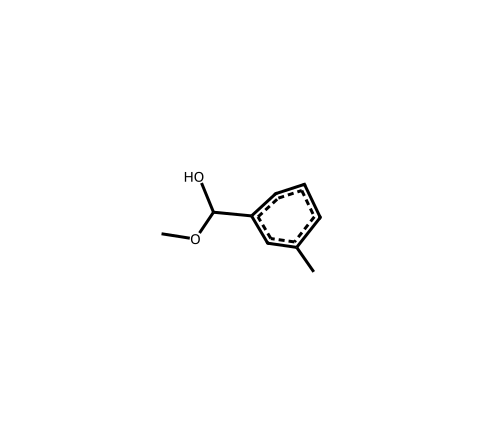 COC(O)c1cccc(C)c1